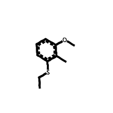 CCSc1cccc(OC)c1C